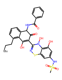 CC(C)(C)CCc1cccc2c1C(O)=C(C1=NSc3cc(NS(C)(=O)=O)cc(O)c3N1O)C(=O)C2NC(=O)c1ccccc1